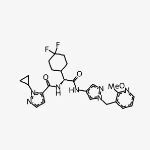 COc1ncccc1Cn1cc(NC(=O)[C@@H](NC(=O)c2ccnn2C2CC2)C2CCC(F)(F)CC2)cn1